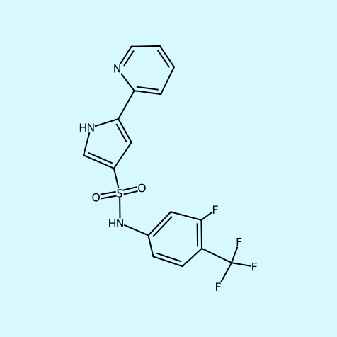 O=S(=O)(Nc1ccc(C(F)(F)F)c(F)c1)c1c[nH]c(-c2ccccn2)c1